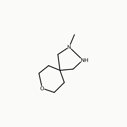 CN1CC2(CCOCC2)CN1